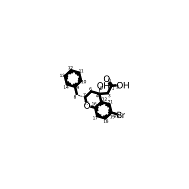 O=C(O)C[C@]1(O)C[C@@H](Cc2ccccc2)Oc2ccc(Br)cc21